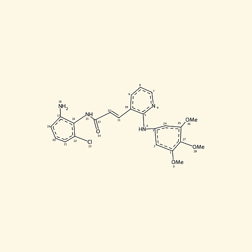 COc1cc(Nc2ncccc2/C=C/C(=O)Nc2c(N)cccc2Cl)cc(OC)c1OC